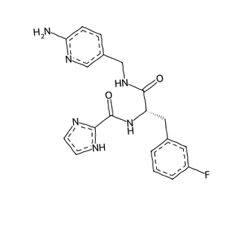 Nc1ccc(CNC(=O)[C@H](Cc2cccc(F)c2)NC(=O)c2ncc[nH]2)cn1